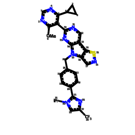 COc1ncnc(C2CC2)c1-c1ncc2c3sncc3n(Cc3ccc(-c4nc(C(F)(F)F)cn4C(C)C)cc3)c2n1